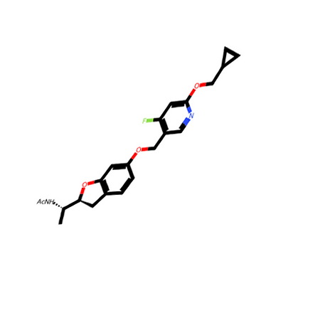 CC(=O)N[C@@H](C)[C@@H]1Cc2ccc(OCc3cnc(OCC4CC4)cc3F)cc2O1